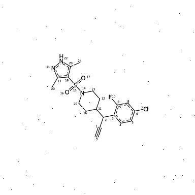 C#CC(c1ccc(Cl)cc1F)C1CCN(S(=O)(=O)c2c(C)n[nH]c2C)CC1